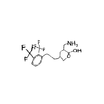 CCC(CCc1cccc(C(F)(F)F)c1C(F)(F)F)CC(CN)C(=O)O